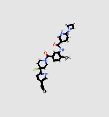 C#Cc1ccc(C2(F)CCN(C(=O)c3ccc(C)c(NC(=O)c4ccc(N5CCC5)nc4)c3)CC2)nc1